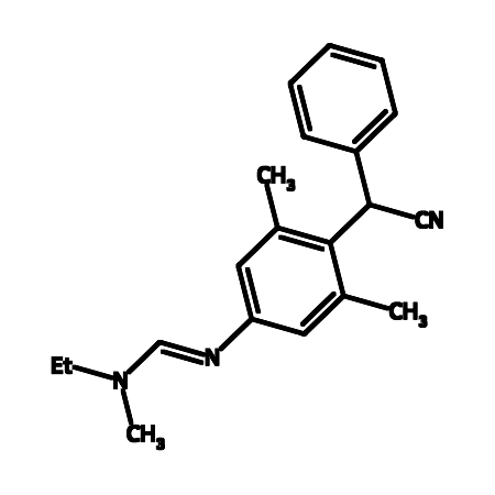 CCN(C)C=Nc1cc(C)c(C(C#N)c2ccccc2)c(C)c1